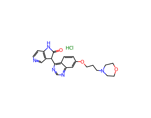 Cl.O=C1Nc2ccncc2C1c1ncnc2cc(OCCCN3CCOCC3)ccc12